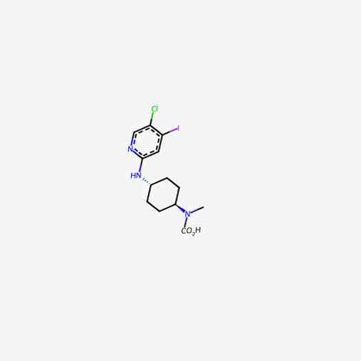 CN(C(=O)O)[C@H]1CC[C@H](Nc2cc(I)c(Cl)cn2)CC1